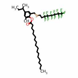 CCCCCCCCCCCCCCCCCC(=O)Oc1c(C)cc(C(C)CC)cc1CSCCC(F)(F)C(F)(F)C(F)(F)C(F)(F)C(F)(F)C(F)(F)F